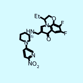 CCC1COc2c(F)c(F)cc3c(=O)c(CN[C@H]4CCCN(c5ccc([N+](=O)[O-])nc5)C4)cn1c23